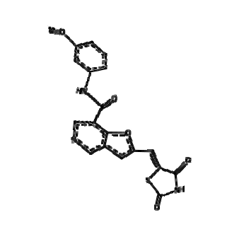 COc1cccc(NC(=O)c2cncc3cc(/C=C4\SC(=O)NC4=O)oc23)c1